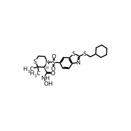 CC1(C)SCCN(S(=O)(=O)c2ccc3nc(SCC4CCCCC4)sc3c2)[C@H]1C(=O)NO